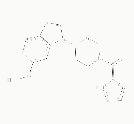 COc1ccc2c(c1)C(N1CCN(C(=O)c3ccc[nH]3)CC1)CC2